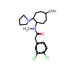 CC(=O)OC1CCC(N2CCCC2)C(N(C)C(=O)Cc2ccc(Cl)c(Cl)c2)CC1